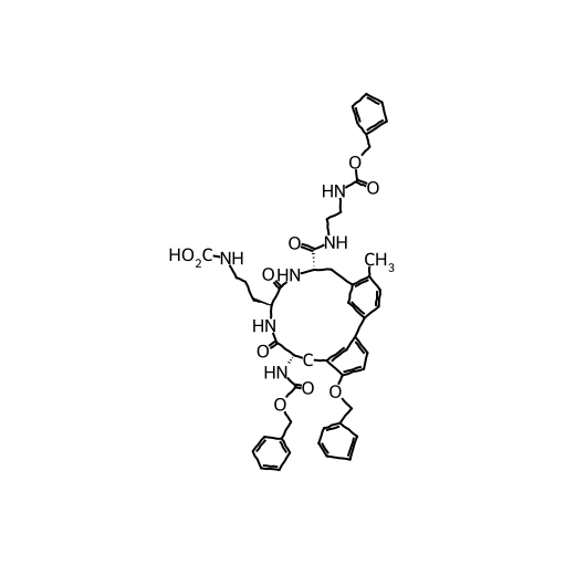 Cc1ccc2cc1C[C@@H](C(=O)NCCNC(=O)OCc1ccccc1)NC(=O)[C@H](CCCNC(=O)O)NC(=O)[C@@H](NC(=O)OCc1ccccc1)Cc1cc-2ccc1OCc1ccccc1